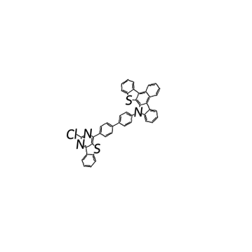 Clc1nc(-c2ccc(-c3ccc(-n4c5ccccc5c5c6ccccc6c6c7ccccc7sc6c54)cc3)cc2)c2sc3ccccc3c2n1